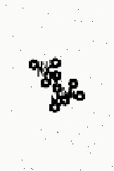 c1ccc(-c2nc(-c3ccccc3)c(-c3cccc(-c4ccc(-c5nc6ccccc6c6ccc7c(nc(-c8ccccc8)n7-c7ccccc7)c56)cc4)n3)c(-c3ccccc3)n2)cc1